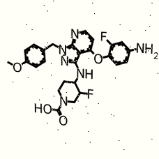 COc1ccc(Cn2nc(NC3CCN(C(=O)O)CC3F)c3c(Oc4ccc(N)cc4F)ccnc32)cc1